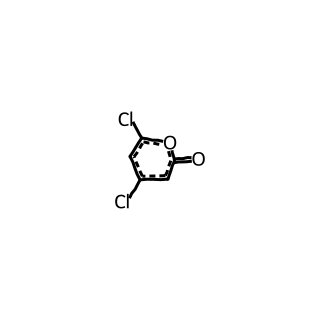 O=c1cc(Cl)cc(Cl)o1